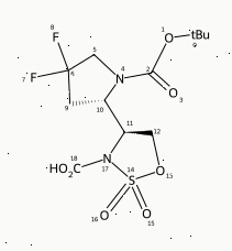 CC(C)(C)OC(=O)N1CC(F)(F)C[C@H]1[C@H]1COS(=O)(=O)N1C(=O)O